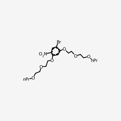 CCCOCCOCCOc1cc(OCCOCCOCCC)c([N+](=O)[O-])cc1Br